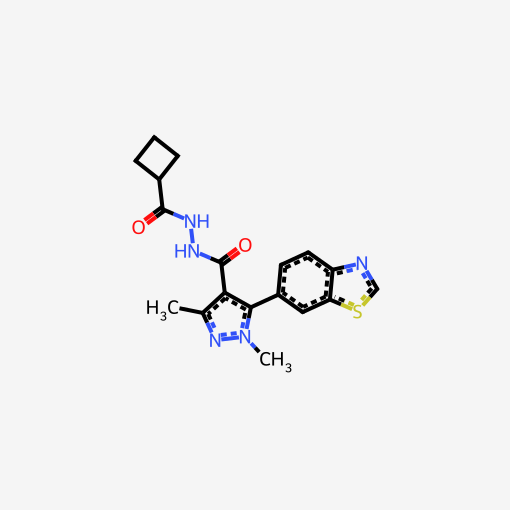 Cc1nn(C)c(-c2ccc3ncsc3c2)c1C(=O)NNC(=O)C1CCC1